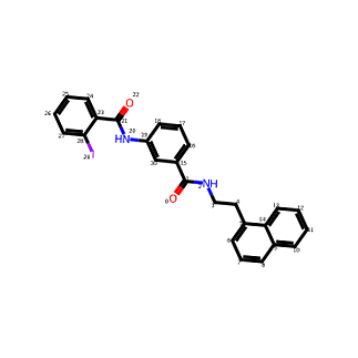 O=C(NCCc1cccc2ccccc12)c1cccc(NC(=O)c2ccccc2I)c1